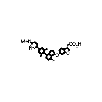 CNC(=O)/C=C\C(=N)c1cc(C)c(-c2ccc(F)c3c2CC[C@H]3Oc2ccc3c(c2)OC[C@H]3CC(=O)O)c(C)c1